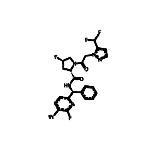 CC(C)c1ccc([C@@H](NC(=O)[C@@H]2C[C@@H](F)CN2C(=O)Cn2nccc2C(F)F)c2ccccc2)nc1F